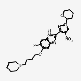 O=[N+]([O-])c1cn(C2CCCCO2)nc1-c1nc2cc(OCCCCN3CCCCC3)c(F)cc2[nH]1